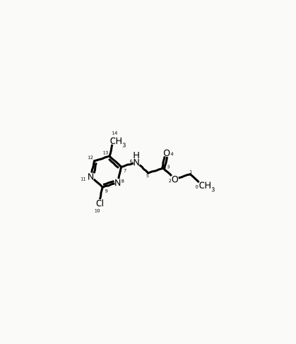 CCOC(=O)CNc1nc(Cl)ncc1C